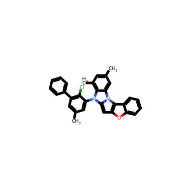 Cc1cc(-c2ccccc2)c(Cl)c(-n2c3c(C)cc(C)cc3n3c4c(cc23)oc2ccccc24)c1